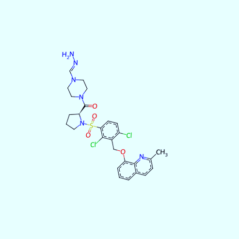 Cc1ccc2cccc(OCc3c(Cl)ccc(S(=O)(=O)N4CCC[C@H]4C(=O)N4CCN(C=NN)CC4)c3Cl)c2n1